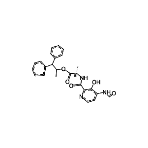 CC(OC(=O)[C@H](C)NC(=O)c1nccc(NC=O)c1O)C(c1ccccc1)c1ccccc1